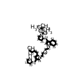 C/C=C\C=C/c1cc(C[C@@H]2CCCN2)cn1CCOCCn1cc(C[C@@H]2CCCN2C(=O)OC(C)(C)C)c2c1CCC=C2